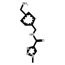 Cn1cc(C(=O)NCc2ccc(CN)cc2)nn1